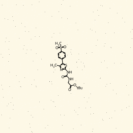 Cc1nc(NC(=O)NCC(=O)OC(C)(C)C)sc1-c1ccc(S(C)(=O)=O)cc1